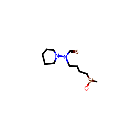 C[S+]([O-])CCCCN(C=S)N1CCCCC1